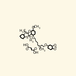 COc1ccc(OCCCCN(C)CCOc2ccc3c(c2)OCO3)c(C2(C)Sc3ccccc3N(C)C2=O)c1.O=C(O)/C=C/C(=O)O